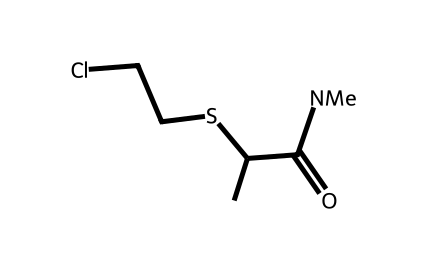 CNC(=O)C(C)SCCCl